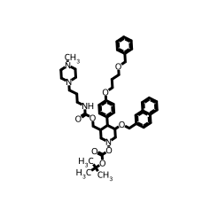 CN1CCN(CCCNC(=O)OCC2CN(OC(=O)OC(C)(C)C)CC(OCc3ccc4ccccc4c3)C2c2ccc(OCCCOCc3ccccc3)cc2)CC1